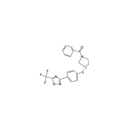 O=C(c1ccccc1)N1CC[C@H](Sc2ccc(-c3noc(C(F)(F)F)n3)cc2)C1